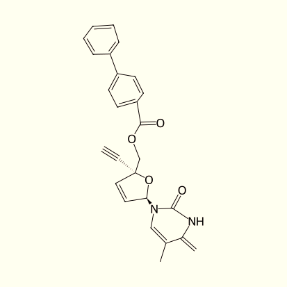 C#C[C@@]1(COC(=O)c2ccc(-c3ccccc3)cc2)C=C[C@H](N2C=C(C)C(=C)NC2=O)O1